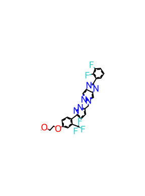 COCCOc1ccc(-c2ccc(Cn3cc4nc(-c5cccc(F)c5F)nc-4cn3)nn2)c(C(F)(F)F)c1